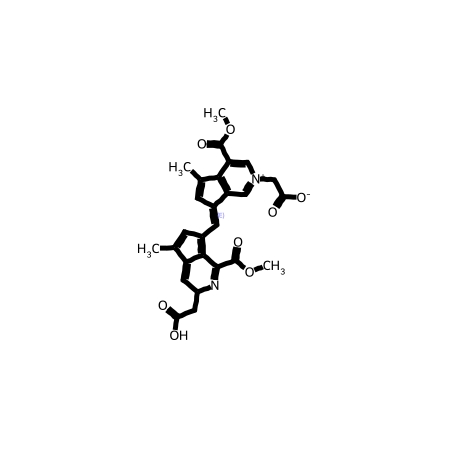 COC(=O)C1=NC(CC(=O)O)C=C2C(C)=CC(/C=C3\C=C(C)c4c(C(=O)OC)c[n+](CC(=O)[O-])cc43)=C21